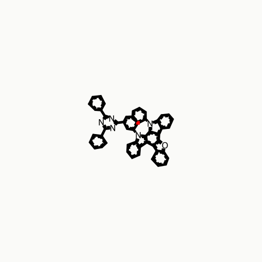 c1ccc(-c2nc(-c3ccccc3)nc(-c3cccc(-n4c5ccccc5c5c6c7ccccc7oc6c6c7ccccc7n(-c7ccccc7)c6c54)c3)n2)cc1